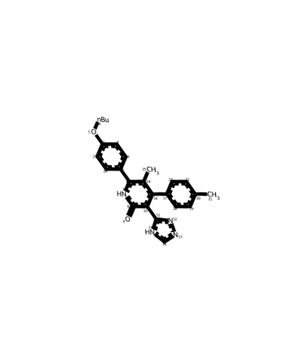 CCCCOc1ccc(-c2[nH]c(=O)c(-c3nnc[nH]3)c(-c3ccc(C)cc3)c2C)cc1